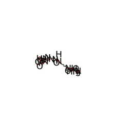 CC(=O)c1c(C)c2cnc(Nc3ccc(N4CCN(CC(=O)NCCCCCCCNC(=O)c5ccc(C(=O)Nc6ncc(C)s6)c(C)c5)CC4)cn3)nc2n(C2CCCC2)c1=O